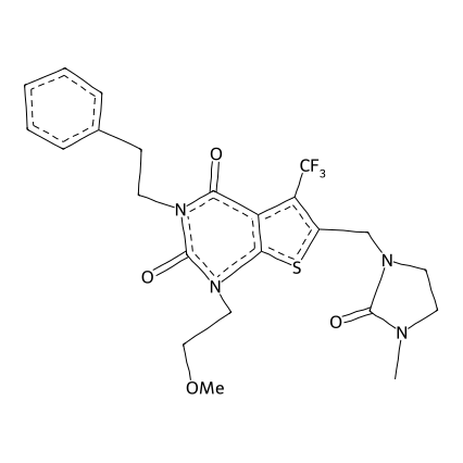 COCCn1c(=O)n(CCc2ccccc2)c(=O)c2c(C(F)(F)F)c(CN3CCN(C)C3=O)sc21